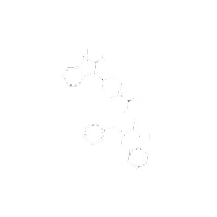 CC(COC(=O)N1CCC([C@@H]2C(=O)Nc3ccccc32)CC1)N(Cc1ccccc1)Cc1ccccc1